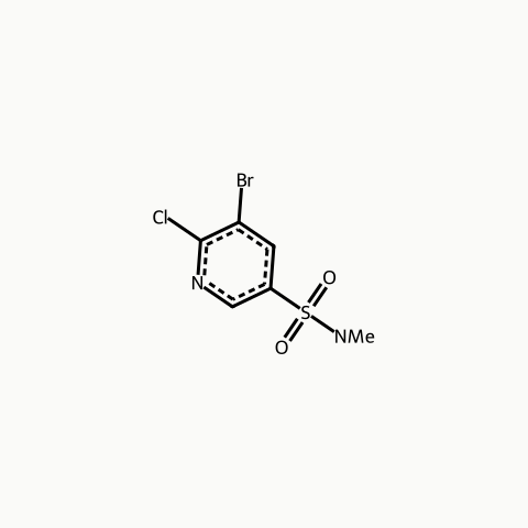 CNS(=O)(=O)c1cnc(Cl)c(Br)c1